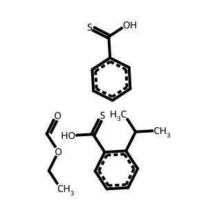 CC(C)c1ccccc1C(O)=S.CCOC=O.OC(=S)c1ccccc1